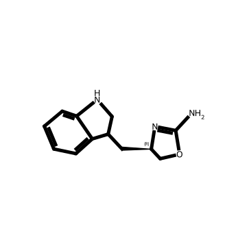 NC1=N[C@H](CC2CNc3ccccc32)CO1